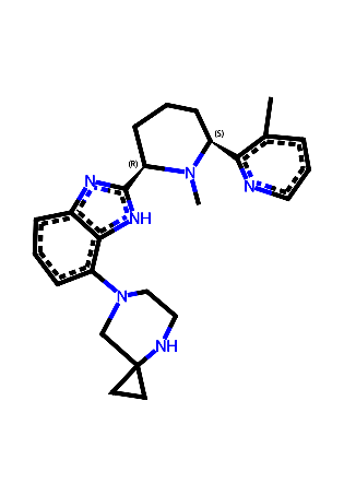 Cc1cccnc1[C@@H]1CCC[C@H](c2nc3cccc(N4CCNC5(CC5)C4)c3[nH]2)N1C